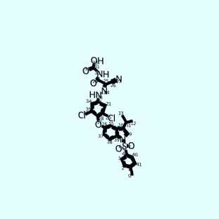 Cc1ccc(S(=O)(=O)n2cc(C(C)C)c3cc(Oc4c(Cl)cc(NN=C(C#N)C(=O)NC(=O)O)cc4Cl)ccc32)cc1